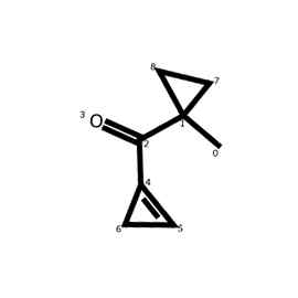 CC1(C(=O)C2=CC2)CC1